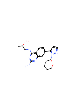 CC(O)CNc1nc(N)nc2cc(-c3ccnn3C3CCCCO3)ccc12